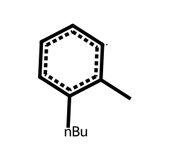 CCCCc1ccc[c]c1C